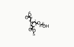 COC(=O)CCN(CCOCCO)CCC(=O)OC